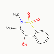 CC(=O)OC1=C(O)c2ccccc2S(=O)(=O)N1C